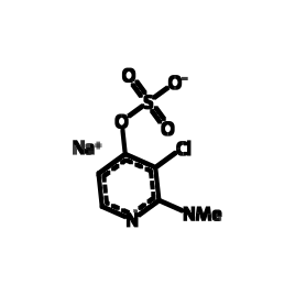 CNc1nccc(OS(=O)(=O)[O-])c1Cl.[Na+]